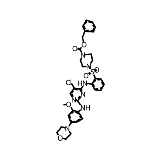 COc1cc(N2CCOCC2)ccc1Nc1ncc(Cl)c(Nc2ccccc2S(=O)(=O)N2CCN(C(=O)OCc3ccccc3)CC2)n1